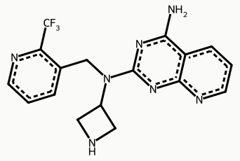 Nc1nc(N(Cc2cccnc2C(F)(F)F)C2CNC2)nc2ncccc12